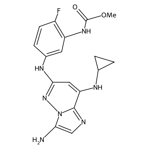 COC(=O)Nc1cc(Nc2cc(NC3CC3)c3ncc(N)n3n2)ccc1F